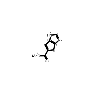 COC(=O)C1=Cc2[nH]cnc2C1